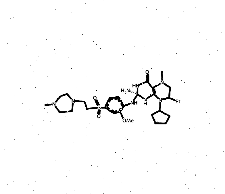 CCC1CN(C)C2=C(N[C@@](N)(Nc3ccc(S(=O)(=O)CCN4CCN(C)CC4)cc3OC)NC2=O)N1C1CCCC1